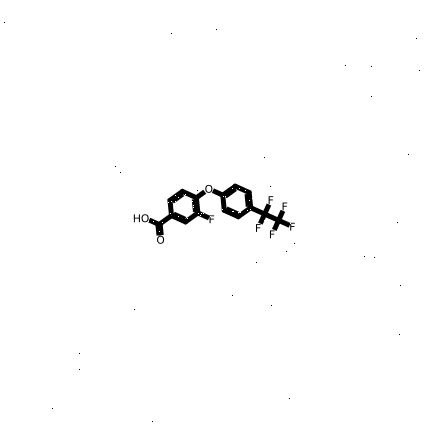 O=C(O)c1ccc(Oc2ccc(C(F)(F)C(F)(F)F)cc2)c(F)c1